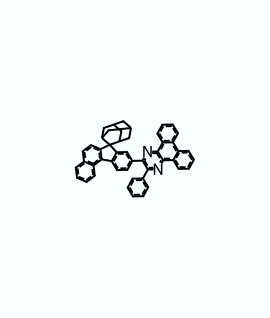 c1ccc(-c2nc3c4ccccc4c4ccccc4c3nc2-c2ccc3c(c2)C2(c4ccc5ccccc5c4-3)C3CC4CC(C3)CC2C4)cc1